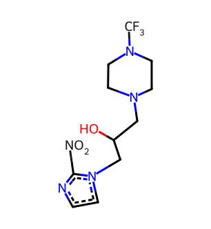 O=[N+]([O-])c1nccn1CC(O)CN1CCN(C(F)(F)F)CC1